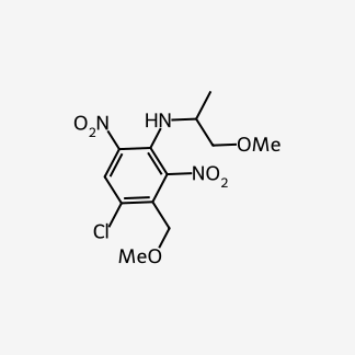 COCc1c(Cl)cc([N+](=O)[O-])c(NC(C)COC)c1[N+](=O)[O-]